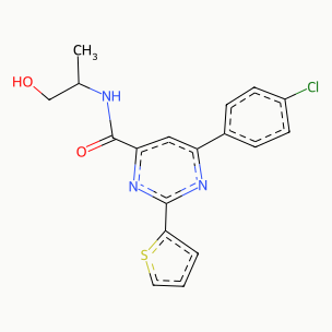 CC(CO)NC(=O)c1cc(-c2ccc(Cl)cc2)nc(-c2cccs2)n1